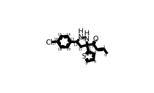 C/C=C/C(=O)C1(c2cccs2)CC(c2ccc(Cl)cc2)NN1